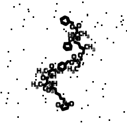 CCN(COC/C(C)=C/CCP(=O)(N[C@@H](C)C(=O)OCc1ccccc1)Oc1ccccc1)C(=O)OCc1ccc(NC(=O)[C@H](C)NC(=O)[C@@H](NC(=O)CCCCCN2C(=O)C=CC2=O)C(C)C)cc1